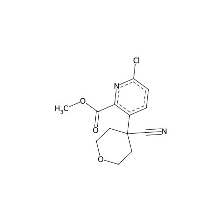 COC(=O)c1nc(Cl)ccc1C1(C#N)CCOCC1